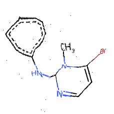 CN1C(Br)=CC=NC1Nc1ccccc1